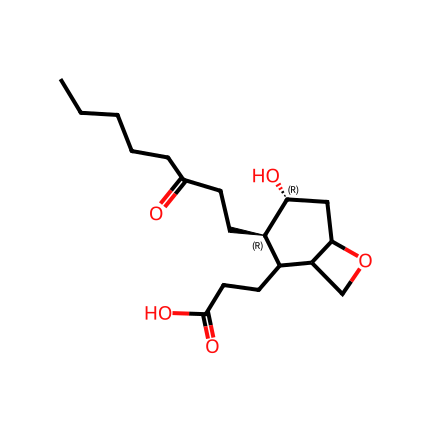 CCCCCC(=O)CC[C@@H]1C(CCC(=O)O)C2COC2C[C@H]1O